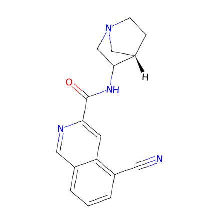 N#Cc1cccc2cnc(C(=O)NC3CN4CC[C@H]3C4)cc12